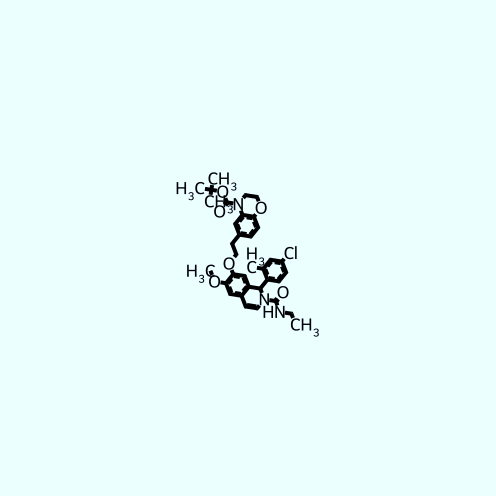 CCNC(=O)N1C=Cc2cc(OC)c(OCCc3ccc4c(c3)N(C(=O)OC(C)(C)C)CCO4)cc2C1c1ccc(Cl)cc1C